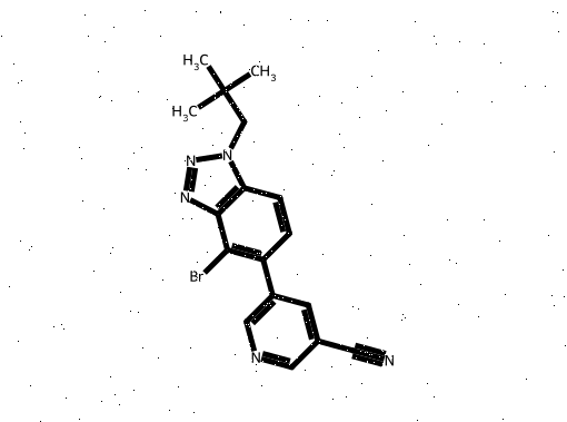 CC(C)(C)Cn1nnc2c(Br)c(-c3cncc(C#N)c3)ccc21